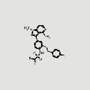 Cn1nc(-c2ccc(NS(=O)(=O)C(F)F)c(OCc3ccc(F)cc3)c2)c2c(N)nccc21